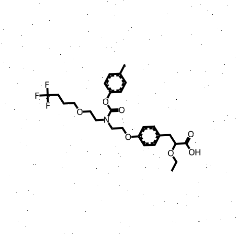 CCOC(Cc1ccc(OCCN(CCOCCCC(F)(F)F)C(=O)Oc2ccc(C)cc2)cc1)C(=O)O